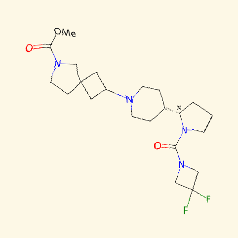 COC(=O)N1CCC2(CC(N3CCC([C@@H]4CCCN4C(=O)N4CC(F)(F)C4)CC3)C2)C1